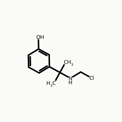 CC(C)(NCCl)c1cccc(O)c1